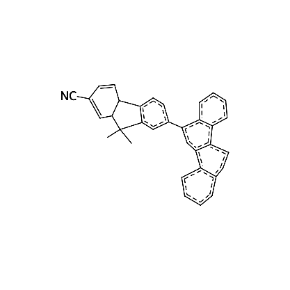 CC1(C)c2cc(-c3cc4c5ccccc5ccc4c4ccccc34)ccc2C2C=CC(C#N)=CC21